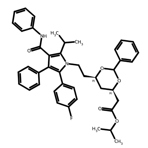 CC(C)OC(=O)C[C@H]1C[C@@H](CCn2c(-c3ccc(F)cc3)c(-c3ccccc3)c(C(=O)Nc3ccccc3)c2C(C)C)OC(c2ccccc2)O1